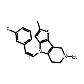 CCN1CCc2c(c3sc(C)cc3n2/C=C\c2cccc(F)c2)C1